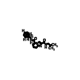 CC(C)CNC(=O)c1cn2c(C(=O)NC[C@@H]3CC[C@H]4C[C@@H]3C4(C)C)cccc2n1